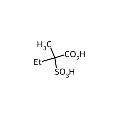 CCC(C)(C(=O)O)S(=O)(=O)O